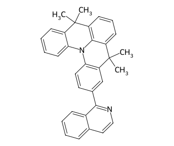 CC1(C)c2ccccc2N2c3ccc(-c4nccc5ccccc45)cc3C(C)(C)c3cccc1c32